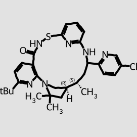 C[C@H]1CC(c2ccc(Cl)cn2)Nc2cccc(n2)SNC(=O)c2ccc(C(C)(C)C)nc2N2C[C@@H]1CC2(C)C